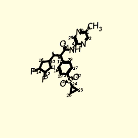 Cc1cnc(NC(=O)C(CC2CC(F)C(F)C2)c2ccc(S(=O)(=O)C3CC3)cc2)cn1